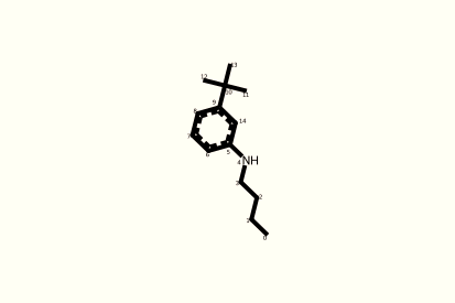 CCCCNc1cccc(C(C)(C)C)c1